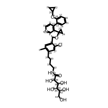 Cc1cc(COC2(c3cnccc3-c3ccccc3OC3CC3)CC2)c(Cl)cc1CCCCNC(=O)[C@@H](O)[C@@H](O)[C@H](O)[C@@H](O)CO